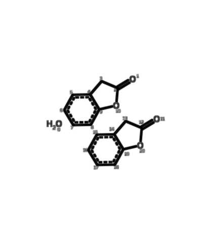 O.O=C1Cc2ccccc2O1.O=C1Cc2ccccc2O1